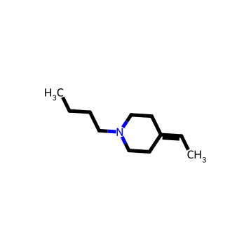 CC=C1CCN(CCCC)CC1